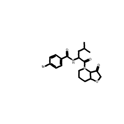 CC(C)CC(NC(=O)c1ccc(Br)cc1)C(=O)N1CCCC2OCC(=O)C21